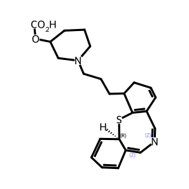 O=C(O)OC1CCCN(CCCC2CC=CC3=C2S[C@@H]2C=CC=C/C2=C/N=C\3)C1